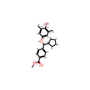 COC(=O)c1ccc(C(Oc2cc(C)c(Br)c(C)c2)C2CCCC2)cc1